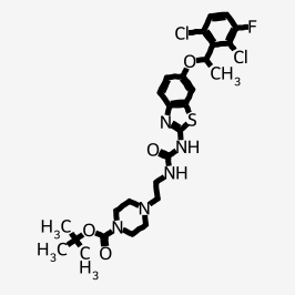 CC(Oc1ccc2nc(NC(=O)NCCN3CCN(C(=O)OC(C)(C)C)CC3)sc2c1)c1c(Cl)ccc(F)c1Cl